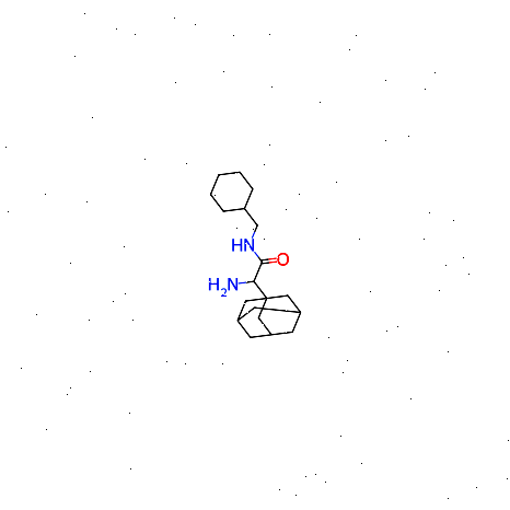 NC(C(=O)NCC1CCCCC1)C12CC3CC(CC(C3)C1)C2